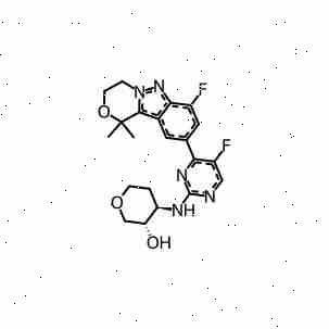 CC1(C)OCCn2nc3c(F)cc(-c4nc(N[C@@H]5CCOC[C@H]5O)ncc4F)cc3c21